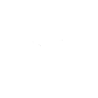 CC(=O)N(O)c1ccc(O)cc1